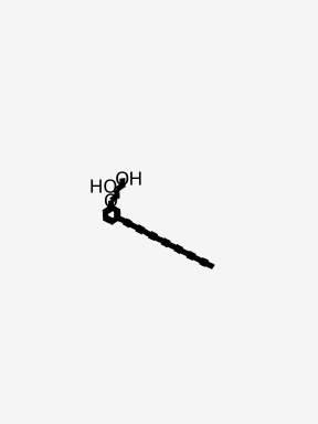 CC#CC#CC#CC#CC#CC#CC#Cc1cccc(OCC(O)CO)c1